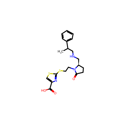 CC(CNC[C@H]1CCC(=O)N1CCSc1nc(C(=O)O)cs1)c1ccccc1